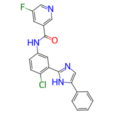 O=C(Nc1ccc(Cl)c(-c2ncc(-c3ccccc3)[nH]2)c1)c1cncc(F)c1